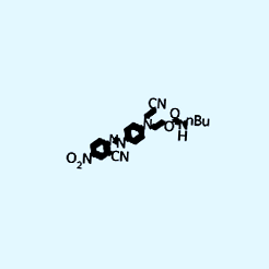 CCCCNC(=O)OCCN(CCC#N)c1ccc(N=Nc2ccc([N+](=O)[O-])cc2C#N)cc1